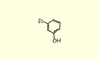 CCc1[c]ccc(O)c1